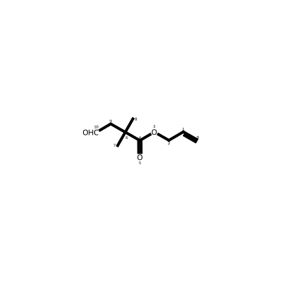 C=CCOC(=O)C(C)(C)CC=O